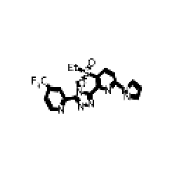 CCS(=O)(=O)c1ccc(-n2cccn2)nc1-c1nnc(-c2cc(C(F)(F)F)ccn2)n1C